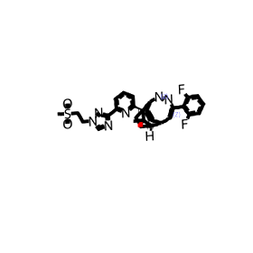 CC1(C)[C@H]2CC[C@]1(c1cccc(-c3ncn(CCS(C)(=O)=O)n3)n1)C1C#CC2/C=C(c2c(F)cccc2F)\N=N/1